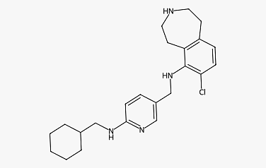 Clc1ccc2c(c1NCc1ccc(NCC3CCCCC3)nc1)CCNCC2